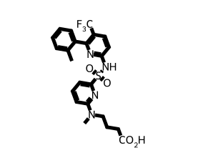 Cc1ccccc1-c1nc(NS(=O)(=O)c2cccc(N(C)CCCC(=O)O)n2)ccc1C(F)(F)F